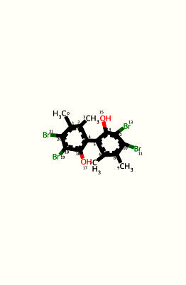 Cc1c(C)c(-c2c(C)c(C)c(Br)c(Br)c2O)c(O)c(Br)c1Br